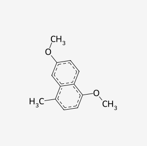 COc1ccc2c(OC)ccc(C)c2c1